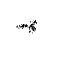 COP(O)(=S)OC[C@@H]1C[C@@H](OP(O)(=S)OC[C@H]2C[C@@H](n3cnc4c(N)ncnc43)[C@@H]2C)[C@H](n2cnc3c(N)ncnc32)O1